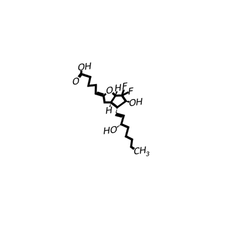 CCCCC[C@H](O)/C=C/[C@@H]1[C@H]2C/C(=C/CCCC(=O)O)O[C@@H]2C(F)(F)[C@H]1O